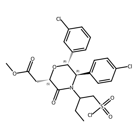 CCC(CS(=O)(=O)Cl)N1C(=O)[C@H](CC(=O)OC)O[C@H](c2cccc(Cl)c2)[C@H]1c1ccc(Cl)cc1